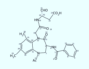 CC(=O)N1CC(NC(=O)c2ccccc2)C(=O)N(CC(=O)N[C@H](C=O)CC(=O)O)c2c(C)cc(C)cc21